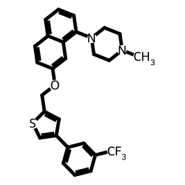 CN1CCN(c2cccc3ccc(OCc4cc(-c5cccc(C(F)(F)F)c5)cs4)cc23)CC1